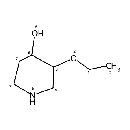 CCOC1CNCCC1O